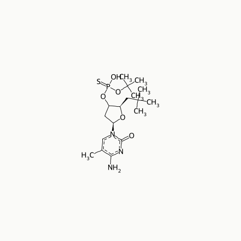 Cc1cn([C@H]2CC(OP(O)(=S)OC(C)(C)C)[C@@H](CC(C)(C)C)O2)c(=O)nc1N